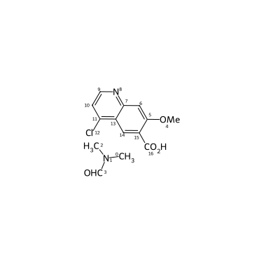 CN(C)C=O.COc1cc2nccc(Cl)c2cc1C(=O)O